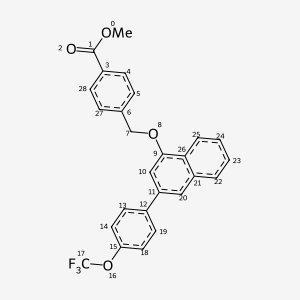 COC(=O)c1ccc(COc2cc(-c3ccc(OC(F)(F)F)cc3)cc3ccccc23)cc1